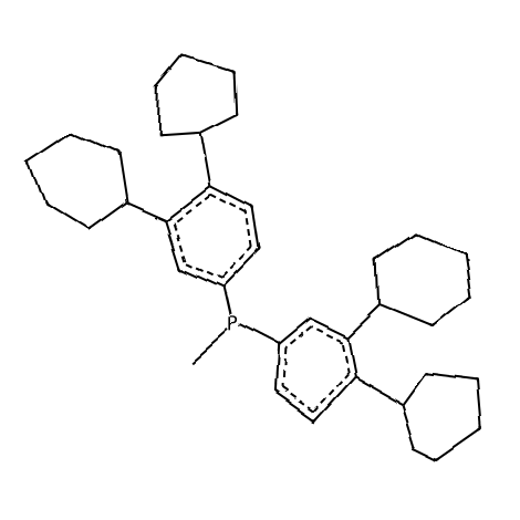 CP(c1ccc(C2CCCCC2)c(C2CCCCC2)c1)c1ccc(C2CCCCC2)c(C2CCCCC2)c1